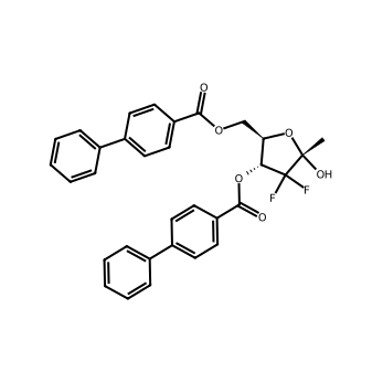 C[C@]1(O)O[C@H](COC(=O)c2ccc(-c3ccccc3)cc2)[C@@H](OC(=O)c2ccc(-c3ccccc3)cc2)C1(F)F